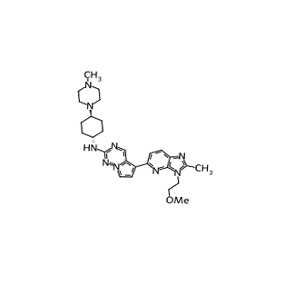 COCCn1c(C)nc2ccc(-c3ccn4nc(N[C@H]5CC[C@H](N6CCN(C)CC6)CC5)ncc34)nc21